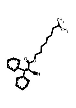 CC(C)CCCCCCCOC(=O)C(C#N)=C(c1ccccc1)c1ccccc1